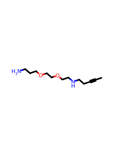 CC#CCCNCCOCCOCCCN